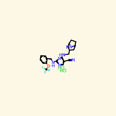 Cl.Cl.N#Cc1cnc(NCc2ccccc2OC(F)(F)F)nc1NCC1CC2CCC(C1)N2